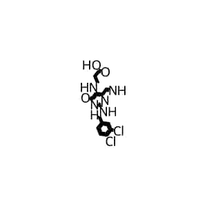 N=Cc1nc(NCc2ccc(Cl)c(Cl)c2)[nH]c(=O)c1NCCC(=O)O